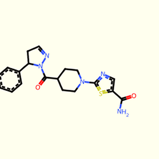 NC(=O)c1cnc(N2CCC(C(=O)N3N=CCC3c3ccccc3)CC2)s1